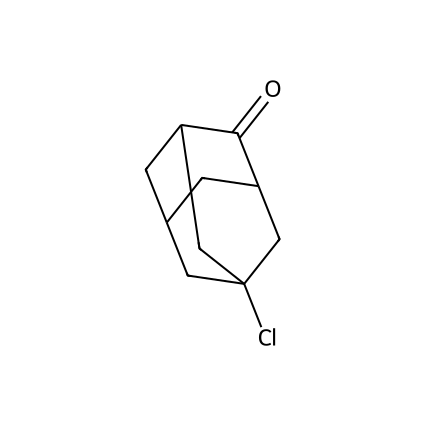 O=C1C2CC3CC1CC(Cl)(C3)C2